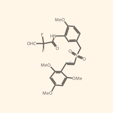 COc1cc(OC)c(/C=C/S(=O)(=O)Cc2ccc(OC)c(NC(=O)C(F)(F)C=O)c2)c(OC)c1